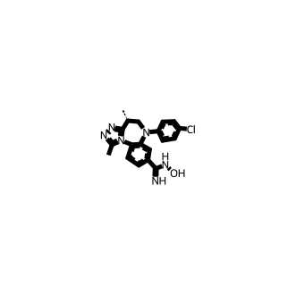 Cc1nnc2n1-c1ccc(C(=N)NO)cc1N(c1ccc(Cl)cc1)C[C@H]2C